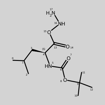 CC(C)C[C@H](NC(=O)OC(C)(C)C)C(=O)ONN